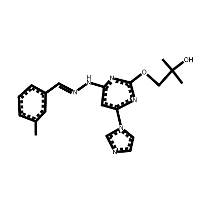 Cc1cccc(C=NNc2cc(-n3ccnc3)nc(OCC(C)(C)O)n2)c1